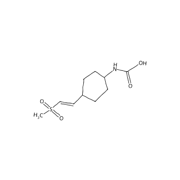 CS(=O)(=O)/C=C/C1CCC(NC(=O)O)CC1